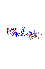 COC(=O)N[C@H](C(=O)N1CCC[C@H]1c1nc2cc([C@H]3CC[C@H](c4ccc5[nH]c([C@@H]6CCCN6C(=O)[C@H](C(C)C)N(C)C(=O)O)nc5c4)N3c3cc(F)c(N4CCCCC4)c(F)c3)ccc2[nH]1)C(C)C